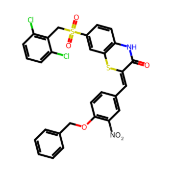 O=C1Nc2ccc(S(=O)(=O)Cc3c(Cl)cccc3Cl)cc2SC1=Cc1ccc(OCc2ccccc2)c([N+](=O)[O-])c1